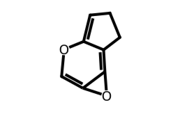 C1=C2OC=C3OC3=C2CC1